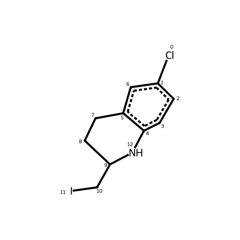 Clc1ccc2c(c1)CCC(CI)N2